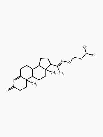 C/C(=N\OCOP(O)O)C1CCC2C3CCC4=CC(=O)CCC4(C)C3CCC12C